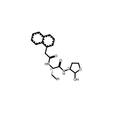 CC(C)C[C@H](NC(=O)Cc1cccc2ccccc12)C(=O)N[C@H]1CCOC1O